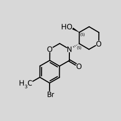 Cc1cc2c(cc1Br)C(=O)N([C@H]1COCC[C@@H]1O)CO2